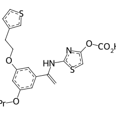 C=C(Nc1nc(OC(=O)O)cs1)c1cc(OCCc2ccsc2)cc(OC(C)C)c1